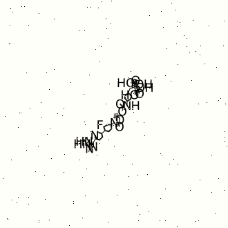 CN1N=C(c2ccc(-c3ccc(N4C[C@H](COC(=O)Nc5ccc(CC(P(=O)(O)O)P(=O)(O)O)cc5)OC4=O)cc3F)cn2)NN1